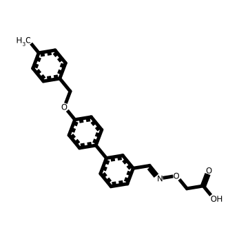 Cc1ccc(COc2ccc(-c3cccc(C=NOCC(=O)O)c3)cc2)cc1